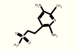 Cc1nc(N)c(CCS(C)(=O)=O)cc1N